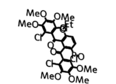 CCOc1ccc(P=O)c(C(=O)c2c(Cl)c(OC)c(OC)c(OC)c2Cl)c1C(=O)c1c(Cl)c(OC)c(OC)c(OC)c1Cl